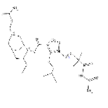 CCC1CC2CC(C[C@@H](COC(N)=O)C2)[C@@H]1NC(=O)c1cnn(/C=C/C(C)(C)C(=O)NC(N)=O)c1OCC(C)C